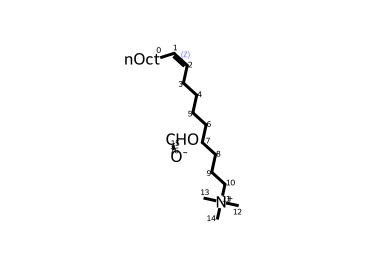 CCCCCCCC/C=C\CCCCCCCC[N+](C)(C)C.O=C[O-]